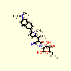 CC[C@H]1OC(O)[C@H](NC(=O)/C(C#N)=C(\C)c2ccc(-c3ccc4cc(N(C)C)ccc4c3)n2C)[C@@H](O)[C@@H]1O